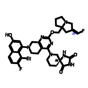 CCc1c(F)ccc2cc(O)cc(N3CCc4c(nc(OCC56CCCN5C/C(=C\F)C6)nc4N4CCC[C@]5(C4)NC(=O)NC5=O)C3)c12